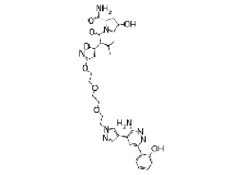 CC(C)[C@H](C(=O)N1C[C@H](O)C[C@H]1C(N)=O)c1cc(OCCOCCOCCn2cc(-c3cc(-c4ccccc4O)nnc3N)cn2)no1